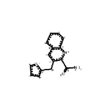 NC(=O)c1nc2ccccc2cc1Cc1cccs1